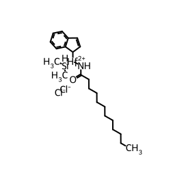 CCCCCCCCCCCC(=O)[NH][Hf+2]([CH]1C=Cc2ccccc21)[SiH](C)C.[Cl-].[Cl-]